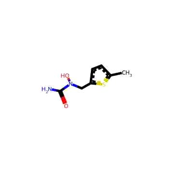 Cc1ccc(CN(O)C(N)=O)s1